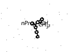 CCCc1ccc(N(c2ccc(-c3ccc(-c4ccccc4)cc3)cc2)c2ccc3c(c2)C(C)(C)c2ccccc2-3)cc1